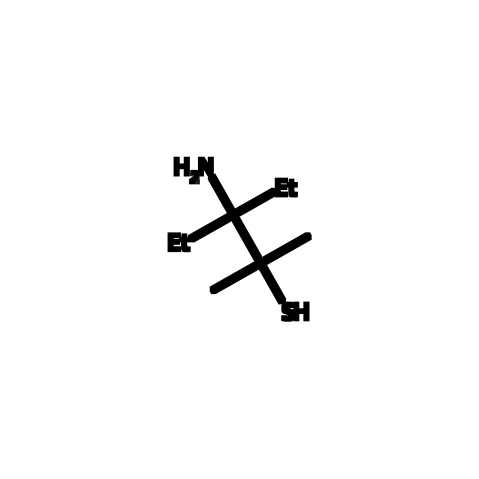 CCC(N)(CC)C(C)(C)S